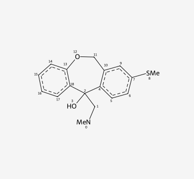 CNCC1(O)c2ccc(SC)cc2COc2ccccc21